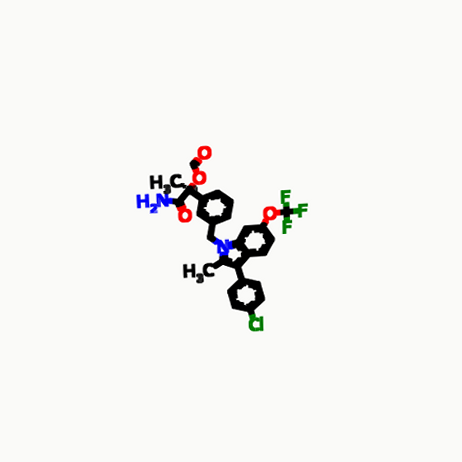 Cc1c(-c2ccc(Cl)cc2)c2ccc(OC(F)(F)F)cc2n1Cc1cccc([C@](C)(OC=O)C(N)=O)c1